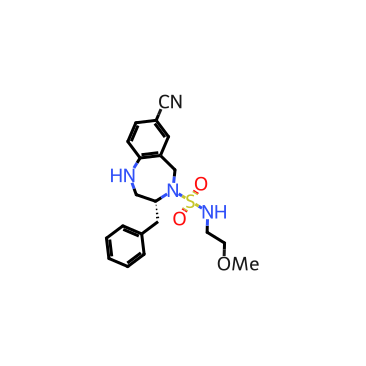 COCCNS(=O)(=O)N1Cc2cc(C#N)ccc2NC[C@H]1Cc1ccccc1